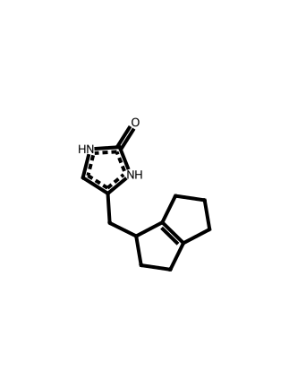 O=c1[nH]cc(CC2CCC3=C2CCC3)[nH]1